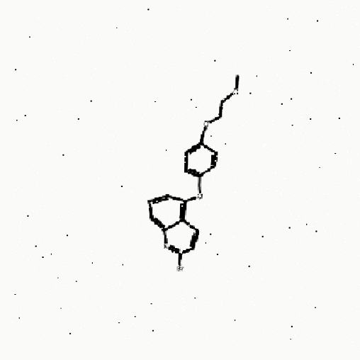 COCCOc1ccc(Oc2cccc3nc(Br)ccc23)cc1